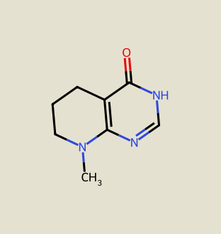 CN1CCCc2c1nc[nH]c2=O